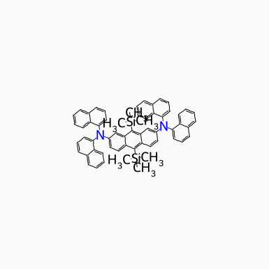 C[Si](C)(C)c1c2ccc(N(c3cccc4ccccc34)c3cccc4ccccc34)cc2c([Si](C)(C)C)c2cc(N(c3cccc4ccccc34)c3cccc4ccccc34)ccc12